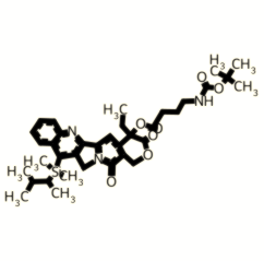 CCC1(OC(=O)CCCNC(=O)OC(C)(C)C)C(=O)OCc2c1cc1n(c2=O)Cc2c-1nc1ccccc1c2[Si](C)(C)C(C)C(C)C